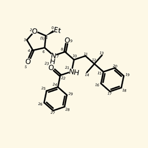 CC[C@@H]1OCC(=O)C1NC(=O)C(CC(C)(C)c1ccccc1)NC(=O)c1ccccc1